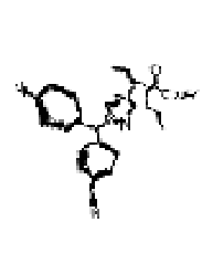 CCCC(CCC)C(=O)O.N#Cc1ccc(C(c2ccc(C#N)cc2)n2cncn2)cc1